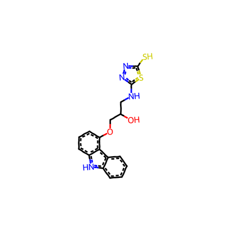 OC(CNc1nnc(S)s1)COc1cccc2[nH]c3ccccc3c12